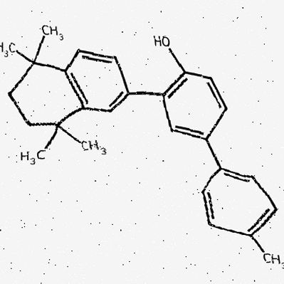 Cc1ccc(-c2ccc(O)c(-c3ccc4c(c3)C(C)(C)CCC4(C)C)c2)cc1